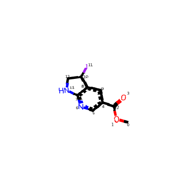 COC(=O)c1cnc2c(c1)C(I)CN2